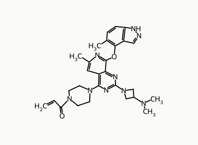 C=CC(=O)N1CCN(c2nc(N3CC(N(C)C)C3)nc3c(Oc4c(C)ccc5[nH]ncc45)nc(C)cc23)CC1